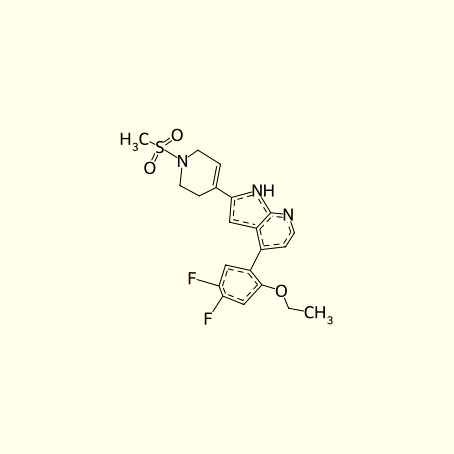 CCOc1cc(F)c(F)cc1-c1ccnc2[nH]c(C3=CCN(S(C)(=O)=O)CC3)cc12